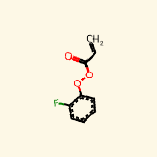 C=CC(=O)OOc1ccccc1F